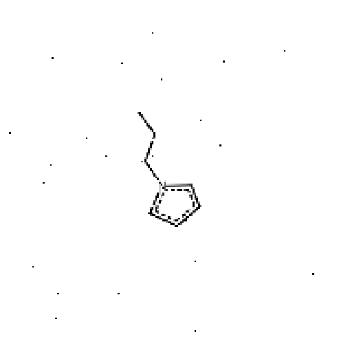 CC[CH]n1cccc1